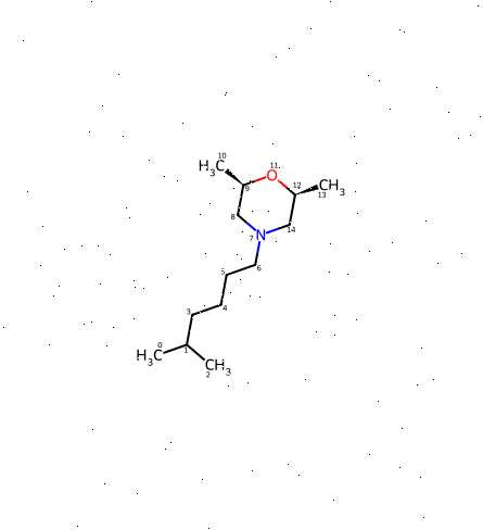 CC(C)CCCCN1C[C@@H](C)O[C@@H](C)C1